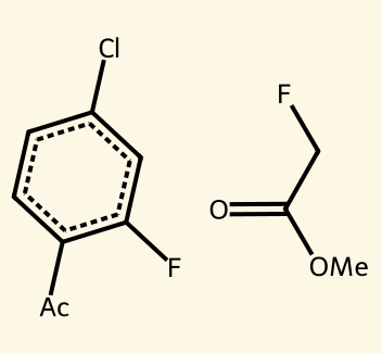 CC(=O)c1ccc(Cl)cc1F.COC(=O)CF